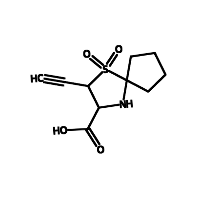 C#CC1C(C(=O)O)NC2(CCCC2)S1(=O)=O